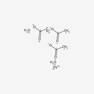 CC(=O)[O-].CC(=O)[O-].CC(=O)[O-].O.O.[Dy+3]